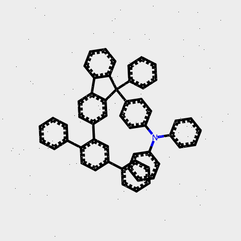 c1ccc(-c2ccc(-c3ccccc3)c(-c3ccc4c(c3)C(c3ccccc3)(c3ccc(N(c5ccccc5)c5ccccc5)cc3)c3ccccc3-4)c2)cc1